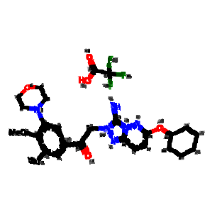 COc1c(N2CCOCC2)cc(C(=O)Cn2nc3ccc(OC4CCCCC4)nn3c2=N)cc1C(C)(C)C.O=C(O)C(F)(F)F